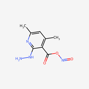 Cc1cc(C)c(C(=O)ON=O)c(NN)n1